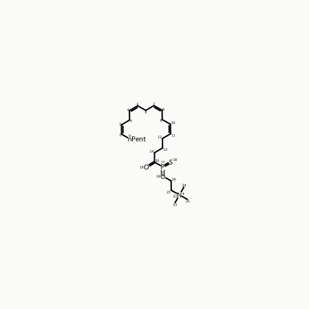 CCCCC/C=C\C/C=C\C/C=C\C/C=C\CCCC(=O)[PH](=S)OCC[N+](C)(C)C